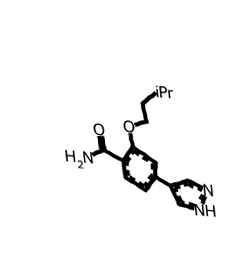 CC(C)CCOc1cc(-c2cn[nH]c2)ccc1C(N)=O